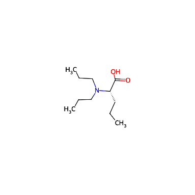 CCC[C@@H](C(=O)O)N(CCC)CCC